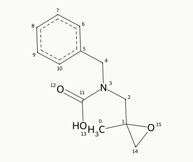 CC1(CN(Cc2ccccc2)C(=O)O)CO1